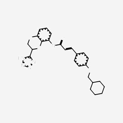 O=C(C=Cc1ccc(OCC2CCCCC2)cc1)Nc1cccc2c1OC(c1nnn[nH]1)CO2